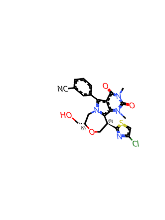 Cn1c(=O)c2c(-c3cccc(C#N)c3)n3c(c2n(C)c1=O)[C@@H](c1nc(Cl)cs1)CO[C@H](CO)C3